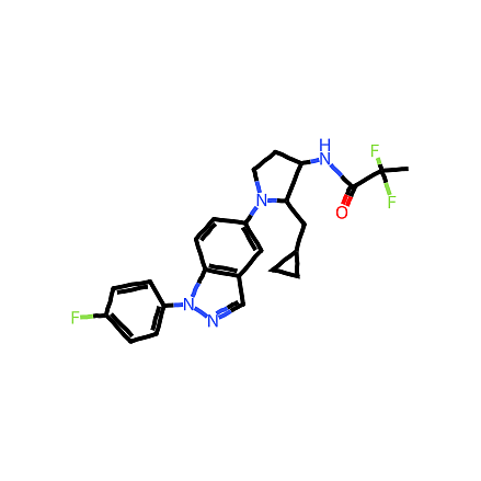 CC(F)(F)C(=O)NC1CCN(c2ccc3c(cnn3-c3ccc(F)cc3)c2)C1CC1CC1